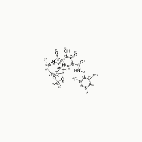 Cc1cc(F)c(CNC(=O)c2cn3c(c(O)c2=O)C(=O)N2C[C@@H]3[C@]3(CC[C@@H]2C)COC(C)(C)O3)c(F)c1